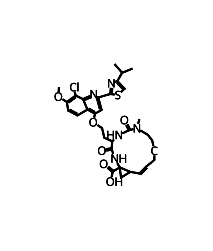 COc1ccc2c(OCCC3NC(=O)N(C)CCCCC=CC4CC4(C(=O)O)NC3=O)cc(-c3nc(C(C)C)cs3)nc2c1Cl